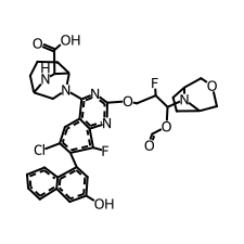 O=COC(C(F)COc1nc(N2CC3CCCC2C(C(=O)O)N3)c2cc(Cl)c(-c3cc(O)cc4ccccc34)c(F)c2n1)N1C2CCC1COC2